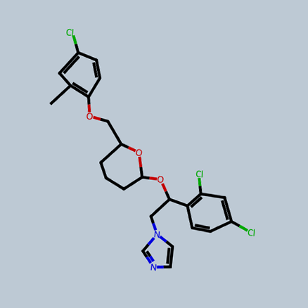 Cc1cc(Cl)ccc1OCC1CCCC(OC(Cn2ccnc2)c2ccc(Cl)cc2Cl)O1